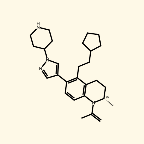 C=C(C)N1c2ccc(-c3cnn(C4CCNCC4)c3)c(CCC3CCCC3)c2CC[C@@H]1C